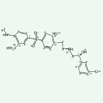 CCNc1ccc(S(=O)(=O)c2ccc(CCNC[C@@H](O)c3cccc(Cl)c3)cc2)cc1C(=O)O.Cl